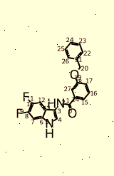 O=C(Nc1c[nH]c2cc(F)c(F)cc12)c1cccc(OCc2ccccc2)c1